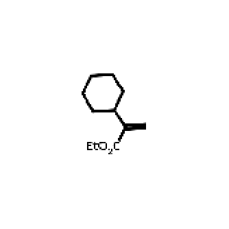 C=C(C(=O)OCC)C1CCCCC1